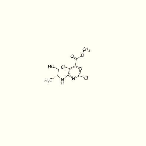 COC(=O)c1nc(Cl)nc(N[C@H](C)CO)c1Cl